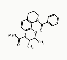 CNC(=O)NC(C)C(C)Oc1cccc2c1N(C(=O)c1ccccc1)CCC2